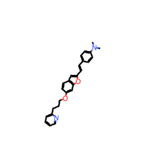 CN(C)c1ccc(/C=C/c2cc3ccc(OCCCc4ccccn4)cc3o2)cc1